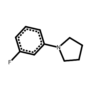 Fc1cccc(N2CCCC2)c1